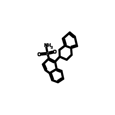 NS(=O)(=O)c1ccc2ccccc2c1C1CCc2ccccc2C1